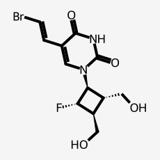 O=c1[nH]c(=O)n([C@@H]2[C@@H](F)[C@H](CO)[C@H]2CO)cc1/C=C/Br